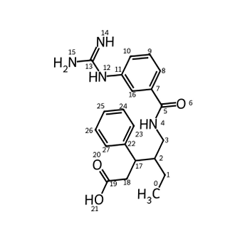 CCC(CNC(=O)c1cccc(NC(=N)N)c1)C(CC(=O)O)c1ccccc1